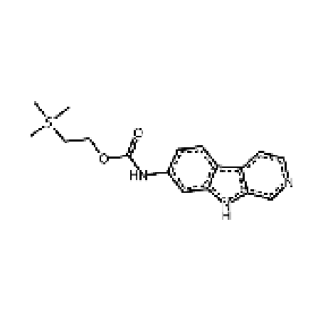 C[Si](C)(C)CCOC(=O)Nc1ccc2c(c1)[nH]c1cnccc12